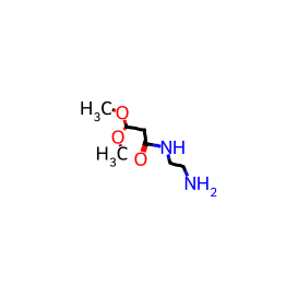 COC(CC(=O)NCCN)OC